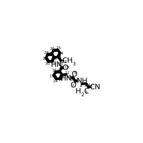 C=C(C#N)CCNC(=O)C(=O)NCc1ccccc1C(=O)N[C@H](C)c1cccc2ccccc12